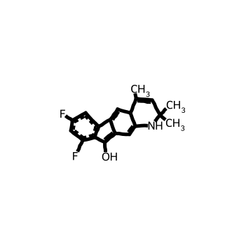 CC1=CC(C)(C)NC2=CC3=C(O)c4c(F)cc(F)cc4C3=CC12